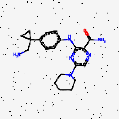 NCC1(c2ccc(Nc3nc(N4CCCCC4)cnc3C(N)=O)cc2)CC1